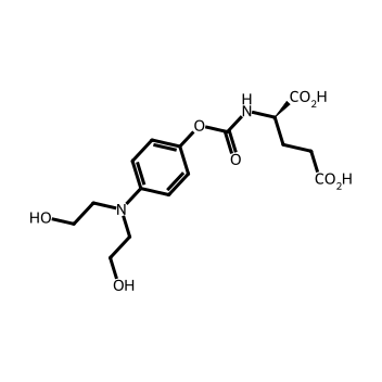 O=C(O)CC[C@@H](NC(=O)Oc1ccc(N(CCO)CCO)cc1)C(=O)O